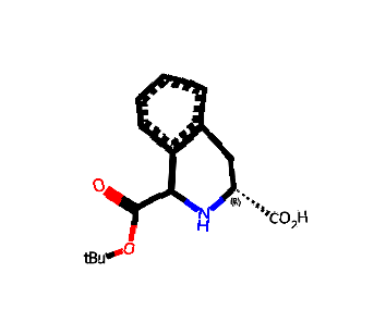 CC(C)(C)OC(=O)C1N[C@@H](C(=O)O)Cc2ccccc21